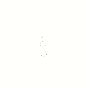 OC/C=C/c1ccc2c(c1)Cc1ccccc1-2